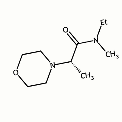 CCN(C)C(=O)[C@H](C)N1CCOCC1